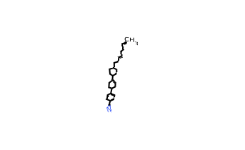 CCCCCCCCCC1CCC(C2CCC(c3ccc(C#N)cc3)CC2)CC1